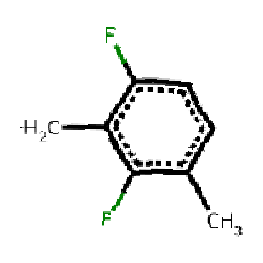 [CH2]c1c(F)ccc(C)c1F